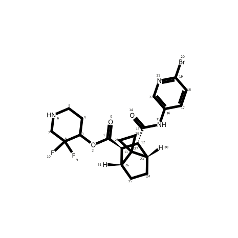 O=C(OC1CCNCC1(F)F)[C@H]1[C@H](C(=O)Nc2ccc(Br)nc2)[C@@H]2CC[C@H]1C21CC1